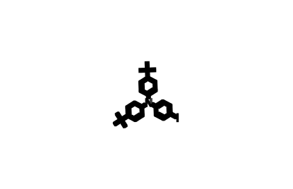 CC(C)(C)C1=CCC(N(C2=CCC(C(C)(C)C)C=C2)c2ccc(I)cc2)C=C1